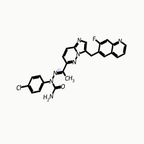 C/C(=N\N(C(N)=O)c1ccc(Cl)cc1)c1ccc2ncc(Cc3cc4cccnc4cc3F)n2n1